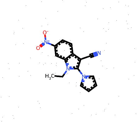 CCn1c(-n2cccc2)c(C#N)c2ccc([N+](=O)[O-])cc21